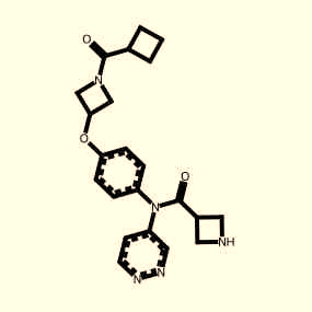 O=C(C1CCC1)N1CC(Oc2ccc(N(C(=O)C3CNC3)c3ccnnc3)cc2)C1